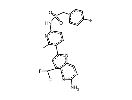 Cc1nc(NS(=O)(=O)Cc2ccc(F)cc2)ccc1-c1cc(C(F)F)c2nc(N)ncc2n1